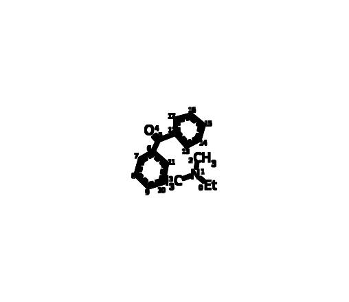 CCN(C)C.O=C(c1ccccc1)c1ccccc1